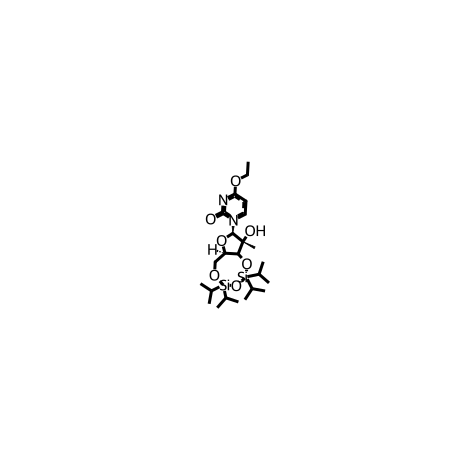 CCOc1ccn([C@@H]2O[C@@H]3CO[Si](C(C)C)(C(C)C)O[Si](C(C)C)(C(C)C)OC3[C@@]2(C)O)c(=O)n1